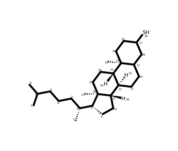 CC(C)CCC[C@@H](C)[C@H]1CC[C@H]2[C@@H]3CCC4CC(S)CC[C@]4(C)[C@H]3CC[C@]12C